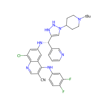 CC(C)(C)N1CCC(N2C=C([C@@H](Nc3cc(Cl)c4ncc(C#N)c(Nc5ccc(F)c(F)c5)c4c3)c3cccnc3)NN2)CC1